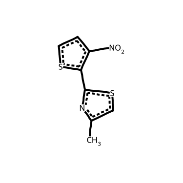 Cc1csc(-c2sccc2[N+](=O)[O-])n1